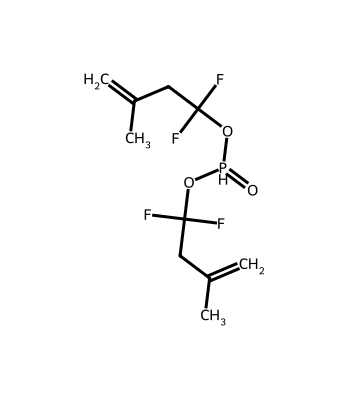 C=C(C)CC(F)(F)O[PH](=O)OC(F)(F)CC(=C)C